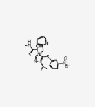 CNC(=S)C(O)[N+]1(Cc2ccccn2)C=NC(C(C)C)=C1Sc1cccc([N+](=O)[O-])c1